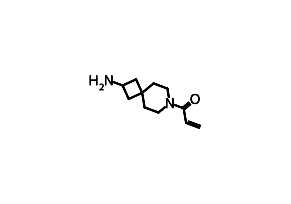 C=CC(=O)N1CCC2(CC1)CC(N)C2